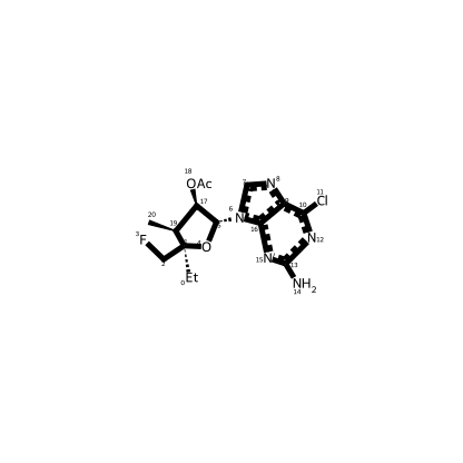 CC[C@@]1(CF)O[C@@H](n2cnc3c(Cl)nc(N)nc32)[C@H](OC(C)=O)[C@@H]1C